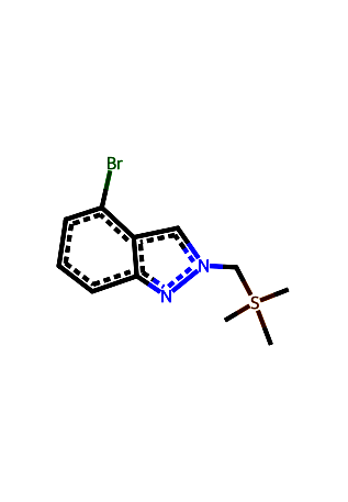 CS(C)(C)Cn1cc2c(Br)cccc2n1